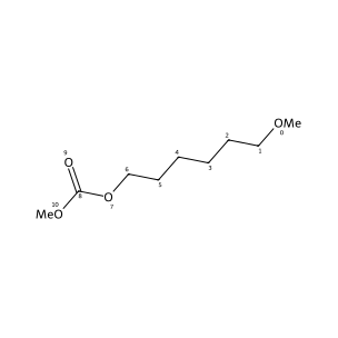 COCCCCCCOC(=O)OC